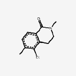 CCc1c(C)ccc2c1CCN(C)C2=O